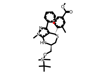 COC(=O)c1ccc([C@@H]2SC[C@@H](CO[Si](C)(C)C(C)(C)C)Nc3c2c(-c2ccccn2)nn3C)c(C)c1